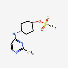 Cc1nccc(N[C@H]2CC[C@H](OS(C)(=O)=O)CC2)n1